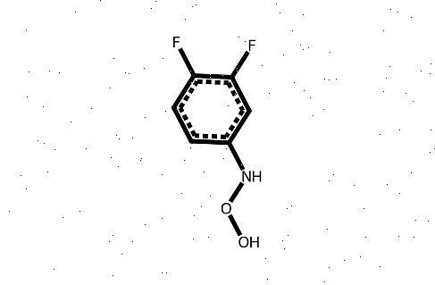 OONc1ccc(F)c(F)c1